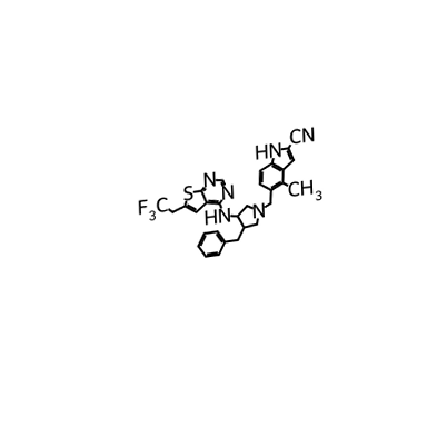 Cc1c(CN2CC(Cc3ccccc3)C(Nc3ncnc4sc(CC(F)(F)F)cc34)C2)ccc2[nH]c(C#N)cc12